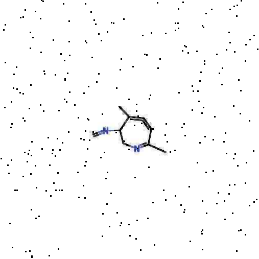 C=NC1CN=C(C)C=C=C1C